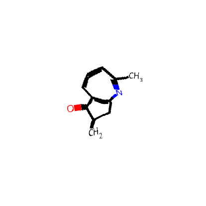 C=C1CC2=C(C=C=CC(C)=N2)C1=O